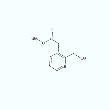 CC(C)(C)Cc1bcccc1CC(=O)OC(C)(C)C